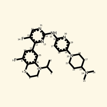 CC(C)N1CCSc2c(F)cc(-c3nc(Nc4ccc(N5CCC(N(C)C)CC5)cn4)ncc3F)cc21